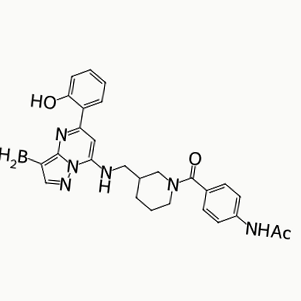 Bc1cnn2c(NCC3CCCN(C(=O)c4ccc(NC(C)=O)cc4)C3)cc(-c3ccccc3O)nc12